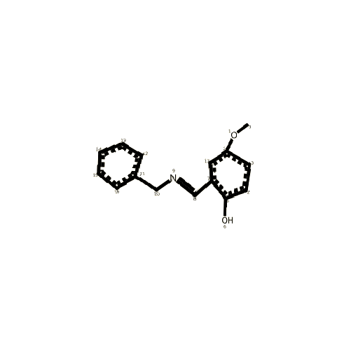 COc1ccc(O)c(/C=N/Cc2ccccc2)c1